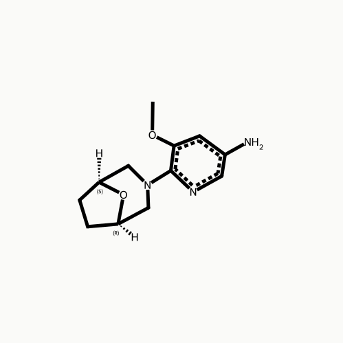 COc1cc(N)cnc1N1C[C@H]2CC[C@@H](C1)O2